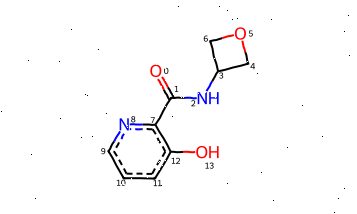 O=C(NC1COC1)c1ncccc1O